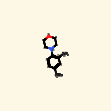 COc1ccc(N2CCOCC2)c([N+](=O)[O-])c1